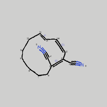 N#CC1=C(/C#N)CCCCCC/C=C/C=C\1